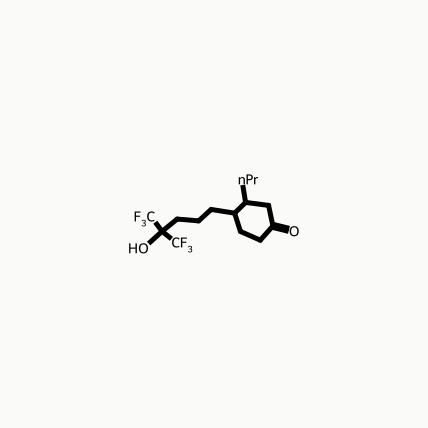 CCCC1CC(=O)CCC1CCCC(O)(C(F)(F)F)C(F)(F)F